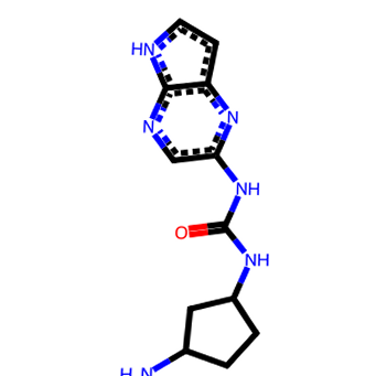 NC1CCC(NC(=O)Nc2cnc3[nH]ccc3n2)C1